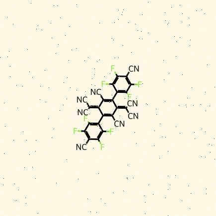 N#CC(C#N)=c1c(C#N)c(-c2c(F)c(F)c(C#N)c(F)c2F)c(=C(C#N)C#N)c(C#N)c1-c1c(F)c(F)c(C#N)c(F)c1F